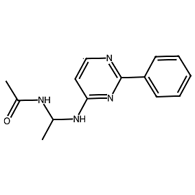 CC(=O)NC(C)Nc1c[c]nc(-c2ccccc2)n1